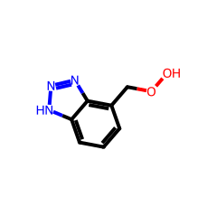 OOCc1cccc2[nH]nnc12